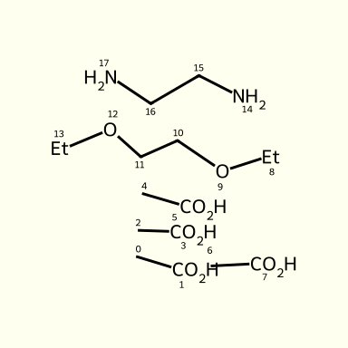 CC(=O)O.CC(=O)O.CC(=O)O.CC(=O)O.CCOCCOCC.NCCN